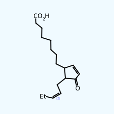 CC/C=C\CC1C(=O)C=CC1CCCCCCCC(=O)O